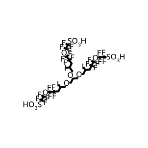 O=S(=O)(O)C(F)(F)C(F)(F)OC(F)(F)C(F)(F)CC(I)COCC(COCC(I)CC(F)(F)C(F)(F)OC(F)(F)C(F)(F)S(=O)(=O)O)OCC(I)CC(F)(F)C(F)(F)OC(F)(F)C(F)(F)S(=O)(=O)O